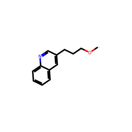 [CH2]OCCCc1cnc2ccccc2c1